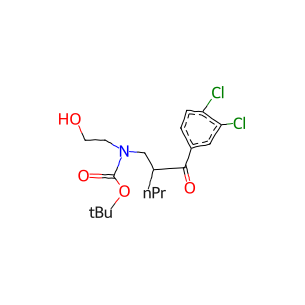 CCCC(CN(CCO)C(=O)OC(C)(C)C)C(=O)c1ccc(Cl)c(Cl)c1